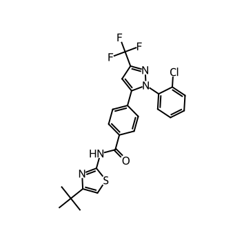 CC(C)(C)c1csc(NC(=O)c2ccc(-c3cc(C(F)(F)F)nn3-c3ccccc3Cl)cc2)n1